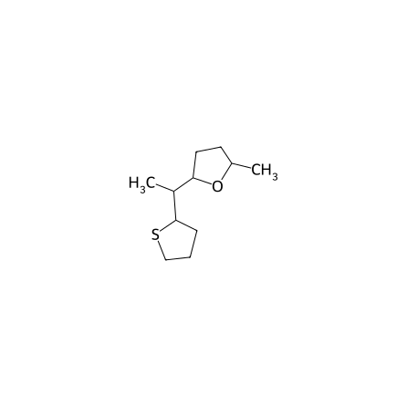 CC1CCC(C(C)C2CCCS2)O1